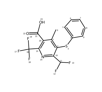 Cc1c(Sc2ccccc2)c(C(F)F)nc(C(F)(F)F)c1C(=O)O